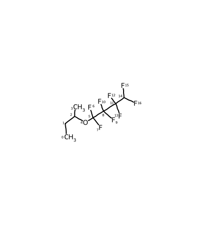 CCC(C)OC(F)(F)C(F)(F)C(F)(F)C(F)F